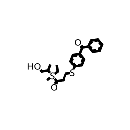 CCS(C)(C(=O)CCSc1ccc(C(=O)c2ccccc2)cc1)C(C)CO